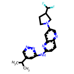 CC(C)c1cnnc(Nc2ccc3ncc(N4CCC(C(F)F)C4)cc3n2)c1